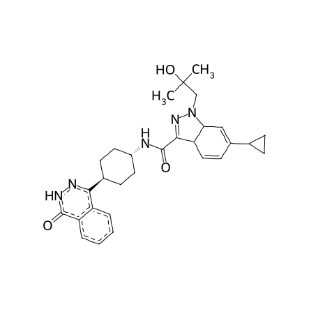 CC(C)(O)CN1N=C(C(=O)N[C@H]2CC[C@H](c3n[nH]c(=O)c4ccccc43)CC2)C2C=CC(C3CC3)=CC21